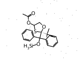 CC(=O)OC1CO[C@@](C(C)(C)C)(C(O[SiH3])(c2ccccc2)c2ccccc2)S1